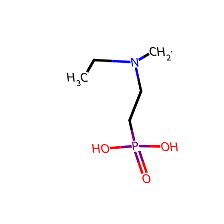 [CH2]N(CC)CCP(=O)(O)O